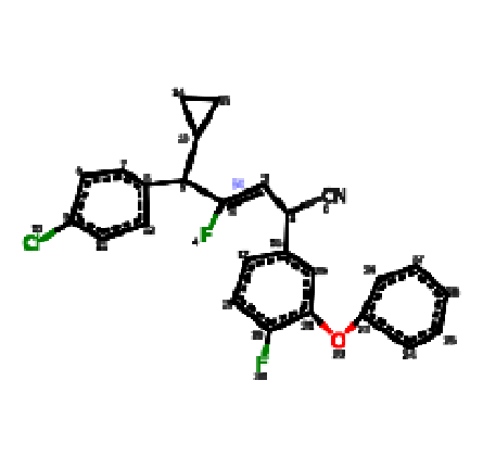 N#CC(/C=C(\F)C(c1ccc(Cl)cc1)C1CC1)c1ccc(F)c(Oc2ccccc2)c1